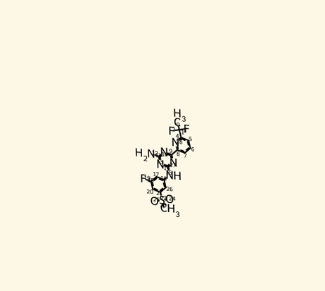 CC(F)(F)c1cccc(-c2nc(N)nc(Nc3cc(F)cc(S(C)(=O)=O)c3)n2)n1